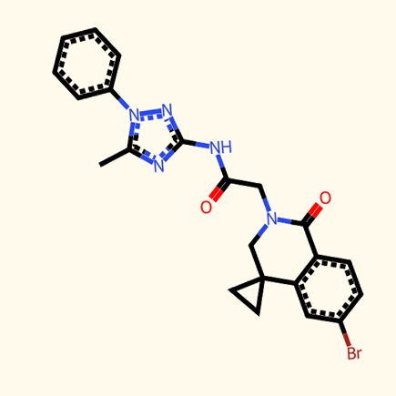 Cc1nc(NC(=O)CN2CC3(CC3)c3cc(Br)ccc3C2=O)nn1-c1ccccc1